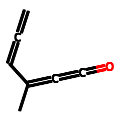 C=C=CC(C)=C=C=O